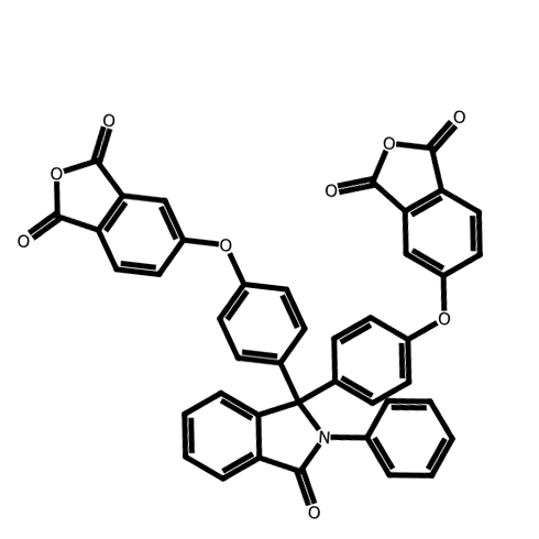 O=C1OC(=O)c2cc(Oc3ccc(C4(c5ccc(Oc6ccc7c(c6)C(=O)OC7=O)cc5)c5ccccc5C(=O)N4c4ccccc4)cc3)ccc21